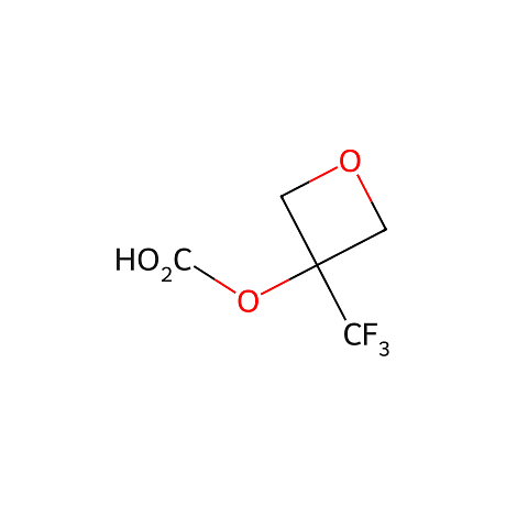 O=C(O)OC1(C(F)(F)F)COC1